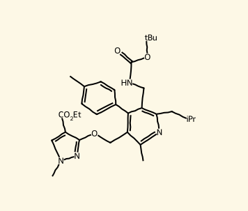 CCOC(=O)c1cn(C)nc1OCc1c(C)nc(CC(C)C)c(CNC(=O)OC(C)(C)C)c1-c1ccc(C)cc1